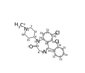 CN1CCC(N2C(=O)CN=C(c3ccccc3Cl)c3cc(Cl)ccc32)CC1